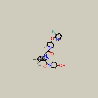 C[C@@H]1C[C@H](Oc2ncccc2F)CCN1C(=O)Cn1nc(C(=O)N2CCC(O)CC2)c2c1C1[C@@H]3[C@H]2[C@]13C